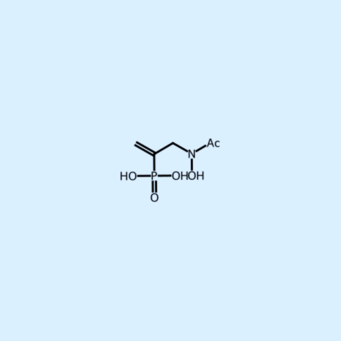 C=C(CN(O)C(C)=O)P(=O)(O)O